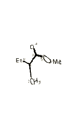 CCC(C)C(Cl)OC